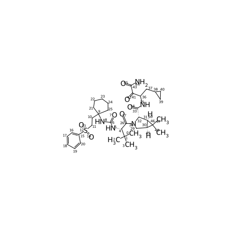 CC(C)(C)[C@H](NC(=O)NC1(CCS(=O)(=O)c2ccccc2)CCCCC1)C(=O)N1C[C@H]2[C@@H]([C@H]1C(=O)NC(CC1CC1)C(=O)C(N)=O)C2(C)C